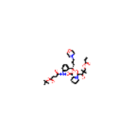 C=CC(=O)OCC(C)(C)C(=O)C(=O)N1CCCC[C@H]1C(=O)O[C@H](CCCN1CCOCC1)c1cccc(NC(=O)CCC(=O)OC(C)(C)C)c1